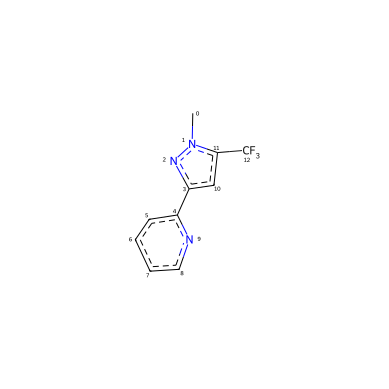 Cn1nc(-c2ccccn2)cc1C(F)(F)F